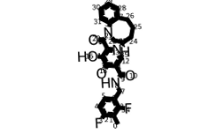 Cc1c(F)ccc(CNC(=O)c2cn3c(c(O)c2=O)C(=O)N2C[C@H]3CCCc3ccccc32)c1F